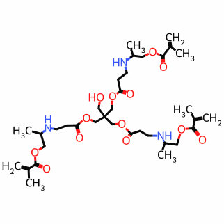 C=C(C)C(=O)OCC(C)NCCC(=O)OCC(CO)(COC(=O)CCNC(C)COC(=O)C(=C)C)COC(=O)CCNC(C)COC(=O)C(=C)C